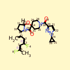 C=C(/C=C(F)\C=C(/C)F)[C@@H]1CC[C@H]2OC3(CCN(C(=O)c4ccn(C5CC5)n4)CC3)C(=O)N21